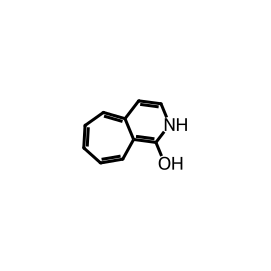 OC1=C2C=CC=CC=C2C=CN1